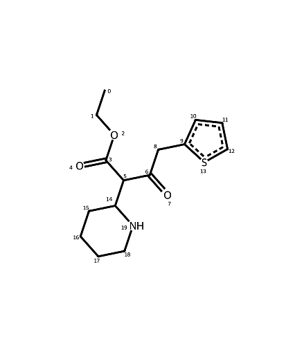 CCOC(=O)C(C(=O)Cc1cccs1)C1CCCCN1